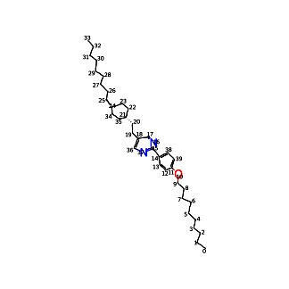 CCCCCCCCCCOc1ccc(-c2ncc(CC[C@H]3CC[C@H](CCCCCCCCC)CC3)cn2)cc1